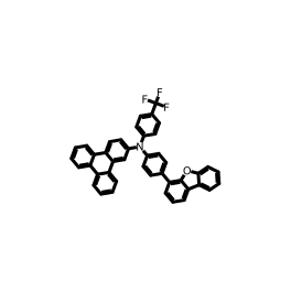 FC(F)(F)c1ccc(N(c2ccc(-c3cccc4c3oc3ccccc34)cc2)c2ccc3c4ccccc4c4ccccc4c3c2)cc1